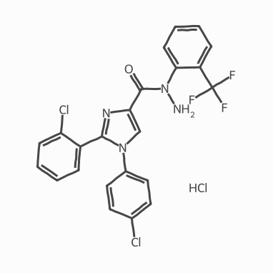 Cl.NN(C(=O)c1cn(-c2ccc(Cl)cc2)c(-c2ccccc2Cl)n1)c1ccccc1C(F)(F)F